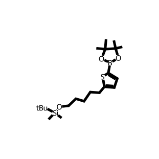 CC1(C)OB(c2ccc(CCCCCO[Si](C)(C)C(C)(C)C)s2)OC1(C)C